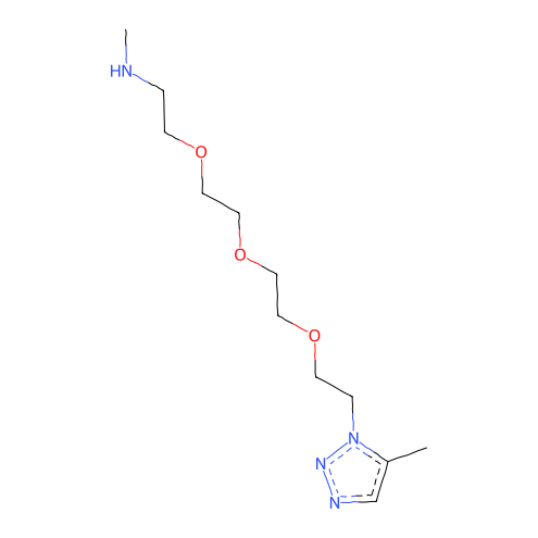 CNCCOCCOCCOCCn1nncc1C